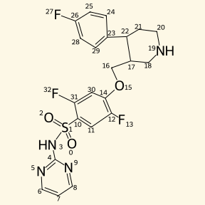 O=S(=O)(Nc1ncccn1)c1cc(F)c(OCC2CNCCC2c2ccc(F)cc2)cc1F